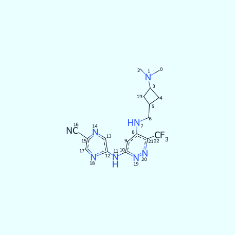 CN(C)C1CC(CNc2cc(Nc3cnc(C#N)cn3)nnc2C(F)(F)F)C1